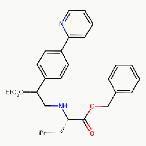 CCOC(=O)C(CN[C@@H](CC(C)C)C(=O)OCc1ccccc1)c1ccc(-c2ccccn2)cc1